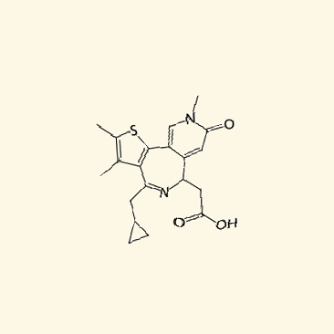 Cc1sc2c(c1C)C(CC1CC1)=NC(CC(=O)O)c1cc(=O)n(C)cc1-2